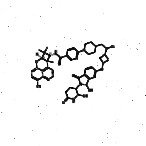 CCN(CC1CCN(c2ccc(C(=O)N[C@H]3C(C)(C)[C@@H]4Oc5ccc(C#N)c6nccc(c56)C34C)cn2)CC1)C1CC(Oc2ccc3c(c2)C(O)N(C2CCC(=O)NC2O)C3=O)C1